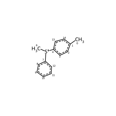 Cc1ccc([S+](C)c2ccccc2)cc1